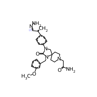 C=C(/C=N\N)c1ccc(N2CC3(CCN(CC(N)=O)CC3)N(Cc3cccc(OC)c3)C2=O)cc1